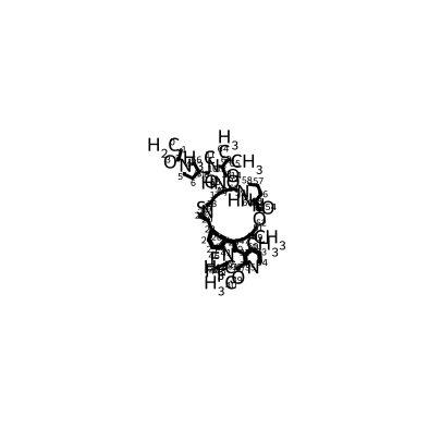 C=CC(=O)N1CC[C@H](C(=O)N(C)C(C(=O)N[C@H]2Cc3nc(cs3)-c3ccc4c(c3)c(c(-c3cccnc3[C@H](C)OC)n4CC(F)(F)F)CC(C)(C)COC(=O)[C@@H]3CCCN(N3)C2=O)C(C)C)C1